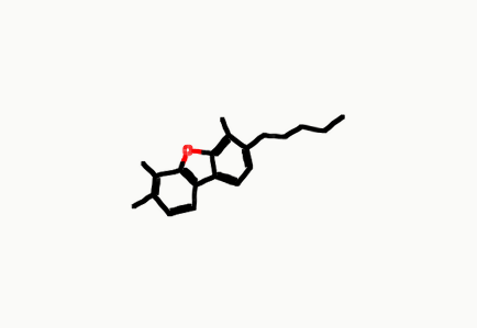 CCCCCc1ccc2c(oc3c(C)c(C)ccc32)c1C